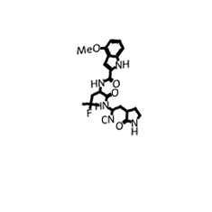 COc1cccc2[nH]c(C(=O)NC(CC(C)(C)F)C(=O)NC(C#N)CC3CCNC3=O)cc12